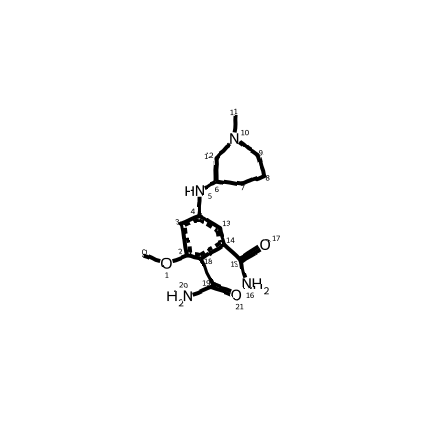 COc1cc(NC2CCCN(C)C2)cc(C(N)=O)c1C(N)=O